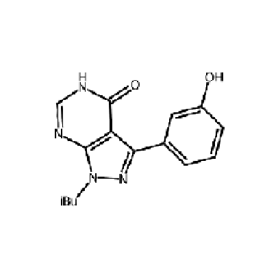 CCC(C)n1nc(-c2cccc(O)c2)c2c(=O)[nH]cnc21